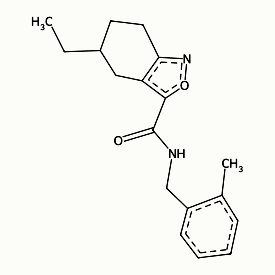 CCC1CCc2noc(C(=O)NCc3ccccc3C)c2C1